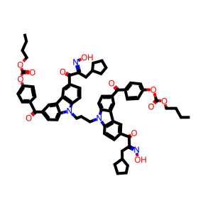 CCCCOC(=O)Oc1ccc(C(=O)c2ccc3c(c2)c2cc(C(=O)/C(CC4CCCC4)=N/O)ccc2n3CCCn2c3ccc(C(=O)/C(CC4CCCC4)=N/O)cc3c3cc(C(=O)c4ccc(OC(=O)OCCCC)cc4)ccc32)cc1